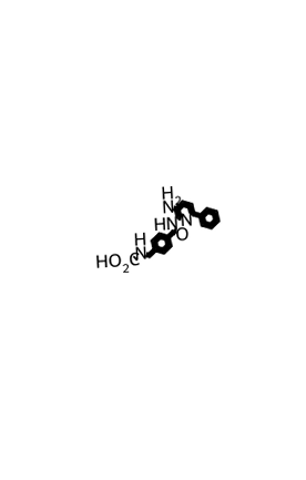 Nc1ccc(-c2ccccc2)nc1NC(=O)c1ccc(CNC(=O)O)cc1